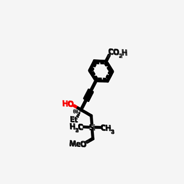 CC[C@](O)(C#Cc1ccc(C(=O)O)cc1)C[Si](C)(C)COC